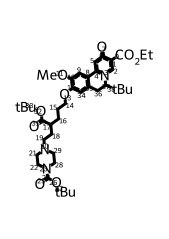 CCOC(=O)c1cn2c(cc1=O)-c1cc(OC)c(OCCCC(CCN3CCN(C(=O)OC(C)(C)C)CC3)C(=O)OC(C)(C)C)cc1CC2C(C)(C)C